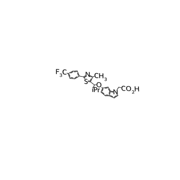 Cc1nc(-c2ccc(C(F)(F)F)cc2)sc1C(Oc1ccc2ccn(CC(=O)O)c2c1)C(C)C